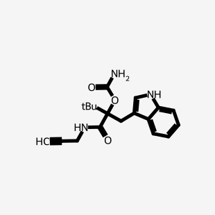 C#CCNC(=O)C(Cc1c[nH]c2ccccc12)(OC(N)=O)C(C)(C)C